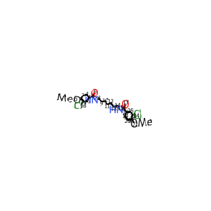 COc1ccc(C(=O)NCCCCCCCNC(=O)c2ccc(OC)c(Cl)c2)cc1Cl